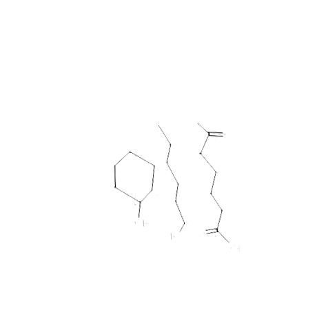 CCCCCCO.O=C(O)CCCCC(=O)O.OC1CCCCC1